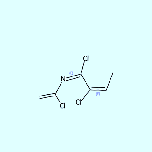 C=C(Cl)/N=C(Cl)\C(Cl)=C/C